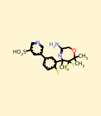 CC1(C)OCC(N)=NC(C)(c2cc(-c3cncc(S(=O)(=O)O)c3)ccc2F)C1(F)F